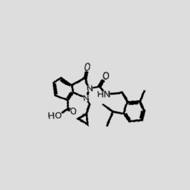 Cc1cccc(C(C)C)c1CNC(=O)n1c(=O)c2cccc(C(=O)O)c2n1CC1CC1